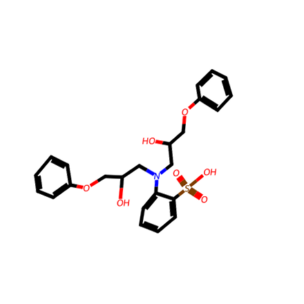 O=S(=O)(O)c1ccccc1N(CC(O)COc1ccccc1)CC(O)COc1ccccc1